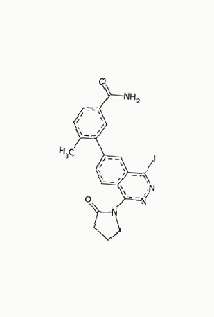 Cc1ccc(C(N)=O)cc1-c1ccc2c(N3CCCC3=O)nnc(I)c2c1